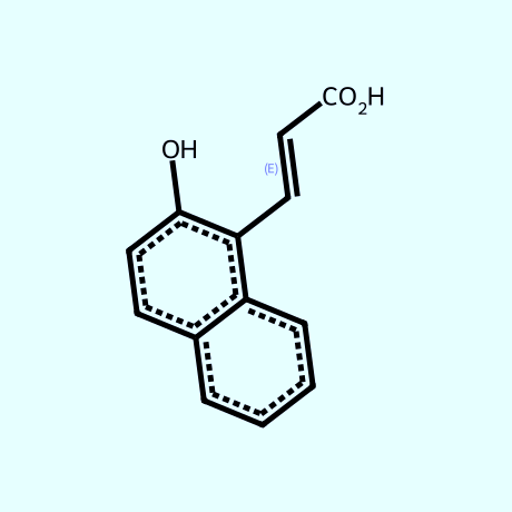 O=C(O)/C=C/c1c(O)ccc2ccccc12